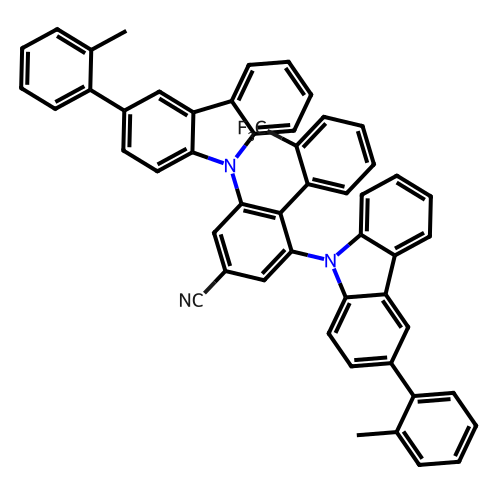 Cc1ccccc1-c1ccc2c(c1)c1ccccc1n2-c1cc(C#N)cc(-n2c3ccccc3c3cc(-c4ccccc4C)ccc32)c1-c1ccccc1C(F)(F)F